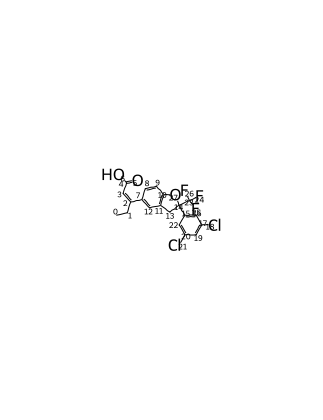 CC/C(=C/C(=O)O)c1ccc2c(c1)CC(c1cc(Cl)cc(Cl)c1)(C(F)(F)F)O2